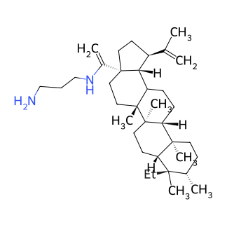 C=C(C)[C@@H]1CC[C@]2(C(=C)NCCCN)CC[C@]3(C)C(CC[C@@H]4[C@@]5(C)CC[C@H](C)[C@@](C)(CC)[C@@H]5CC[C@]43C)[C@@H]12